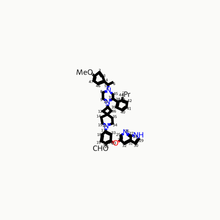 COc1ccc(C(C)N2CCN(C3CC4(CCN(c5ccc(C=O)c(Oc6cnc7[nH]ccc7c6)c5)CC4)C3)C(c3ccccc3C(C)C)C2)cc1